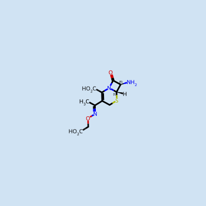 CC(=NOCC(=O)O)C1=C(C(=O)O)N2C(=O)[C@@H](N)[C@@H]2SC1